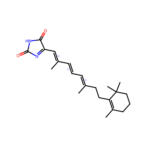 CC1=C(CC/C(C)=C/C=C/C(C)=C/C2=NC(=O)NC2=O)C(C)(C)CCC1